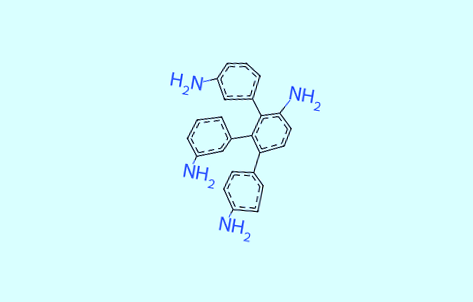 Nc1ccc(-c2ccc(N)c(-c3cccc(N)c3)c2-c2cccc(N)c2)cc1